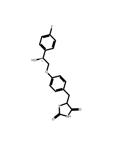 O=C1NC(=O)C(Cc2ccc(OC[C@@H](O)c3ccc(F)cc3)cc2)S1